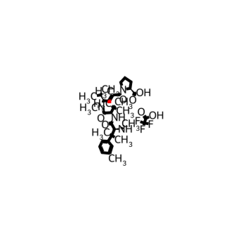 CN[C@H](C(=O)N[C@H](C(=O)N(C)[C@H](/C=C(\C)C(=O)N1CCC[C@H]1C(=O)O)C(C)C)C(C)(C)C)C(C)(C)c1cccc(C)c1.O=C(O)C(F)(F)F